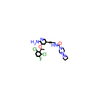 CC(Oc1cc(C#CCNC(=O)N2CCN(N3CCCC3)CC2)cnc1N)c1c(Cl)ccc(F)c1Cl